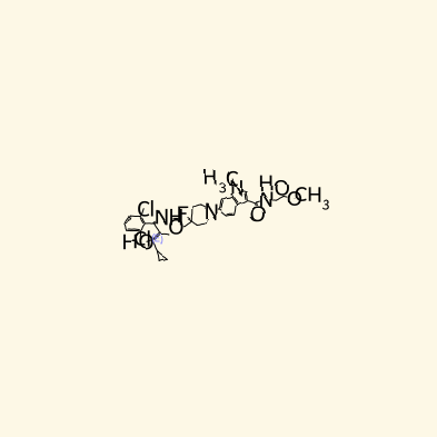 COC(=O)CNC(=O)c1cn(C)c2cc(N3CCC(F)(COC/C(C(=N)c4c(Cl)cccc4Cl)=C(/O)C4CC4)CC3)ccc12